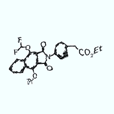 CCOC(=O)Cc1ccc(N2C(=O)c3c(c(OC(F)F)c4ccccc4c3OC(C)C)C2=O)cc1